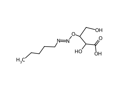 CCCCC/N=N/OC(CO)C(O)C(=O)O